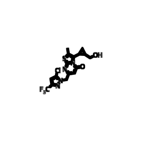 Cc1sc2nc(Cn3nc(C(F)(F)F)cc3Cl)cc(=O)n2c1C1CC1CO